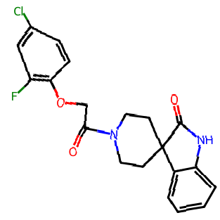 O=C(COc1ccc(Cl)cc1F)N1CCC2(CC1)C(=O)Nc1ccccc12